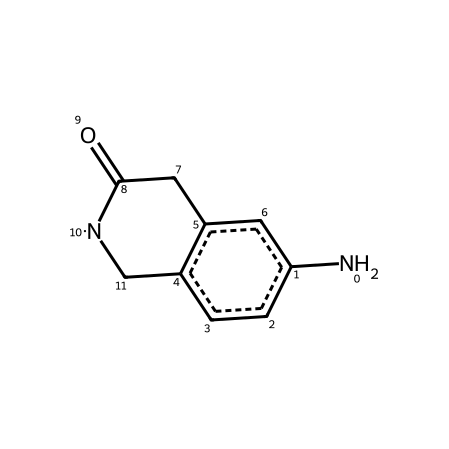 Nc1ccc2c(c1)CC(=O)[N]C2